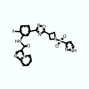 O=C(Nc1cc(-c2noc(C3CN(S(=O)(=O)c4cc[nH]n4)C3)n2)ccc1F)c1cnc2ccccn12